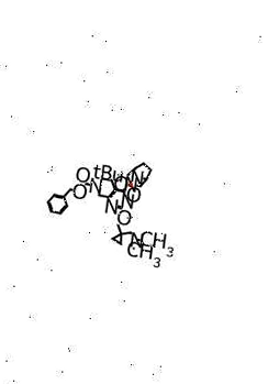 CN(C)CC1(COc2nc3c(c(N4CC5CCC(C4)N5C(=O)OC(C)(C)C)n2)CCN(C(=O)OCc2ccccc2)C3)CC1